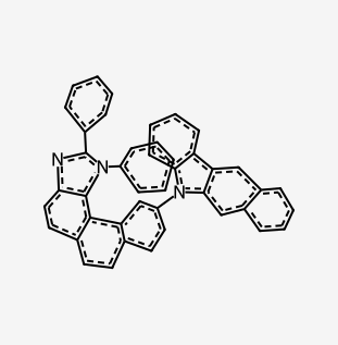 c1ccc(-c2nc3ccc4ccc5ccc(-n6c7ccccc7c7cc8ccccc8cc76)cc5c4c3n2-c2ccccc2)cc1